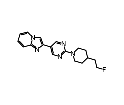 FCCC1CCN(c2ncc(-c3cn4ccccc4n3)cn2)CC1